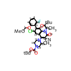 COCOc1cccc(F)c1-c1c(Cl)cc2c(N3CCN(C(=O)OC(C)(C)C)C[C@@H]3C)c(C#N)c(=O)n3c2c1OC(C(C)(C)C)[C@@H]3C